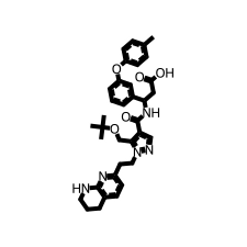 Cc1ccc(Oc2cccc(C(CC(=O)O)NC(=O)c3cnn(CCc4ccc5c(n4)NCCC5)c3COC(C)(C)C)c2)cc1